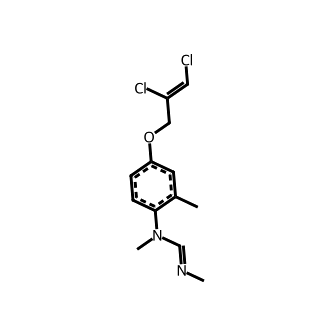 CN=CN(C)c1ccc(OCC(Cl)=CCl)cc1C